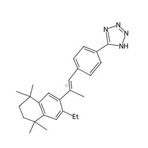 CCc1cc2c(cc1/C(C)=C/c1ccc(-c3nnn[nH]3)cc1)C(C)(C)CCC2(C)C